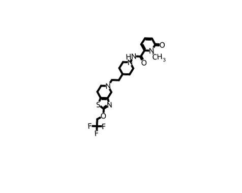 Cn1c(C(=O)NN2CCC(CCN3CCc4sc(OCC(F)(F)F)nc4C3)CC2)cccc1=O